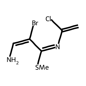 C=C(Cl)/N=C(SC)\C(Br)=C/N